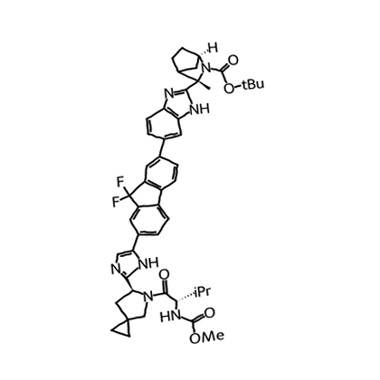 COC(=O)N[C@H](C(=O)N1CC2(CC2)C[C@H]1c1ncc(-c2ccc3c(c2)C(F)(F)c2cc(-c4ccc5nc([C@]6(C)C7CC[C@H](C7)N6C(=O)OC(C)(C)C)[nH]c5c4)ccc2-3)[nH]1)C(C)C